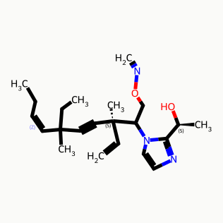 C=C[C@@](C)(C#CC(C)(/C=C\CC)CC)C(CON=C)n1ccnc1[C@H](C)O